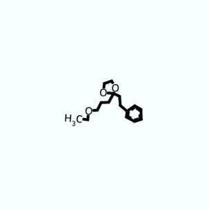 CCOCCCC1(CCc2ccccc2)OCCO1